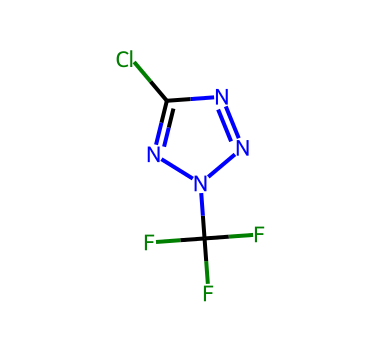 FC(F)(F)n1nnc(Cl)n1